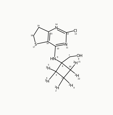 [2H]C1([2H])C([2H])([2H])C(CO)(Nc2nc(Cl)nc3c2SCC3)C1([2H])[2H]